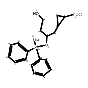 CCCCCCCCC1CC1CC(CCO)O[Si](c1ccccc1)(c1ccccc1)C(C)(C)C